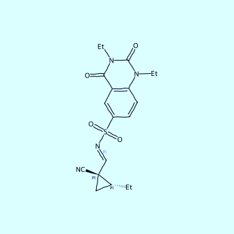 CC[C@@H]1C[C@]1(C#N)/C=N/S(=O)(=O)c1ccc2c(c1)c(=O)n(CC)c(=O)n2CC